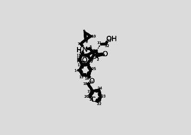 O=C1C[C@]23CCN(CC4CC4)[C@H](Cc4ccc(OCc5ccccc5)cc42)[C@]3(O)C[C@@H]1CCO